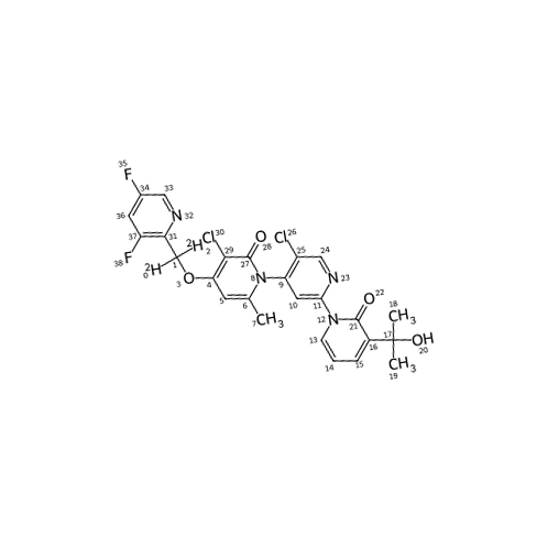 [2H]C([2H])(Oc1cc(C)n(-c2cc(-n3cccc(C(C)(C)O)c3=O)ncc2Cl)c(=O)c1Cl)c1ncc(F)cc1F